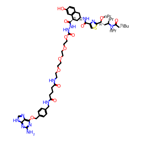 CCCO[C@H](CC(C(C)C)N(CCC)C(=O)C[C@@H](C)CC)c1nc(C(=O)N[C@H]2Cc3ccc(O)cc3[C@H](C(=O)NNC(=O)OCCOCCOCCOCCNC(=O)CCCC(=O)NCc3ccc(COc4nc(N)nc5[nH]cnc45)cc3)C2)cs1